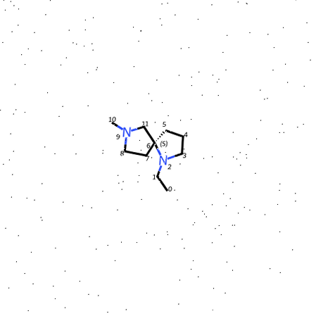 CCN1CCC[C@@]12CCN(C)C2